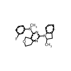 CC1Cc2[c]cccc2N1c1nc2c(c(N(C)c3cccc(F)c3)n1)COCC2